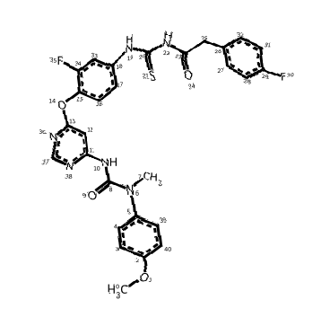 COc1ccc(N(C)C(=O)Nc2cc(Oc3ccc(NC(=S)NC(=O)Cc4ccc(F)cc4)cc3F)ncn2)cc1